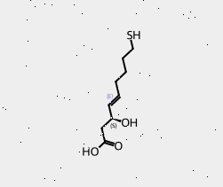 O=C(O)C[C@H](O)/C=C/CCCCS